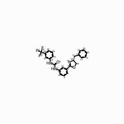 O=C(Nc1cccc(C2=N[C@@H](Cc3ccccc3)CO2)c1)Nc1cccc(C(F)(F)F)c1